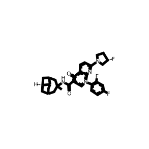 CC1(NC(=O)c2cn(-c3ccc(F)cc3F)c3nc(N4CC[C@H](F)C4)ccc3c2=O)CC2CC3C(C[C@@H]3C2)C1